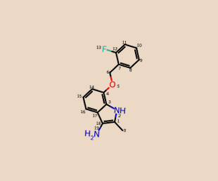 Cc1[nH]c2c(OCc3ccccc3F)cccc2c1N